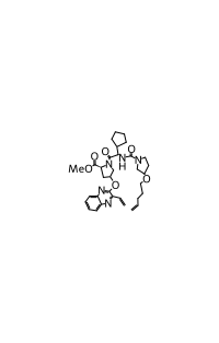 C=CCCCO[C@H]1CCN(C(=O)N[C@H](C(=O)N2CC(Oc3nc4ccccc4nc3C=C)C[C@H]2C(=O)OC)C2CCCC2)C1